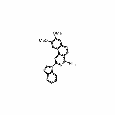 COc1cc2ncc3c(N)nc(-n4cnc5ccccc54)cc3c2cc1OC